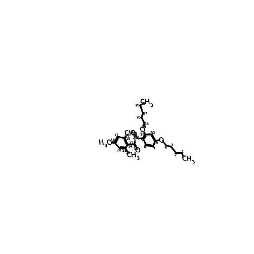 CCCCCOc1ccc([P](=O)C(=O)c2c(C)cc(C)cc2C)c(OCCCCC)c1